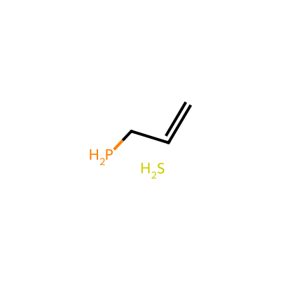 C=CCP.S